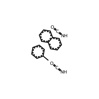 Cc1ccccc1.N=C=O.N=C=O.c1ccc2ccccc2c1